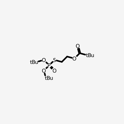 CC(C)(C)OP(=O)(OC(C)(C)C)SCCOC(=O)C(C)(C)C